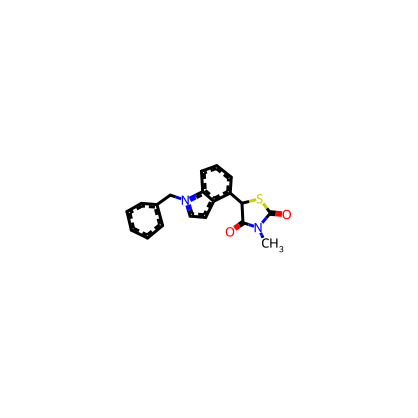 CN1C(=O)SC(c2cccc3c2ccn3Cc2ccccc2)C1=O